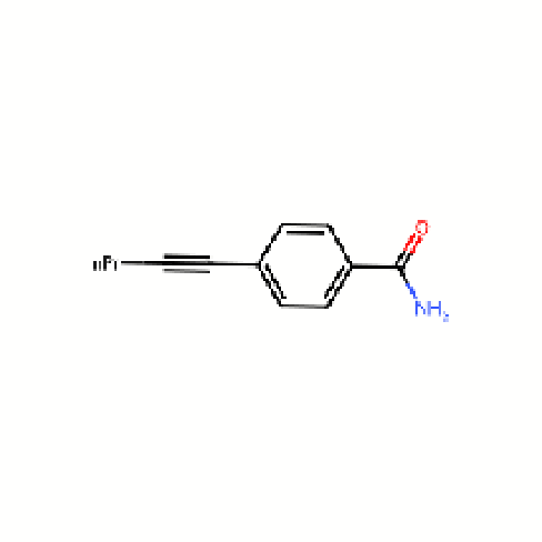 CCCC#Cc1ccc(C(N)=O)cc1